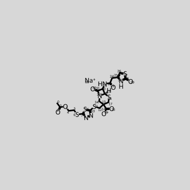 CC(=O)OCCSc1nnc(SCC2(C(=O)[O-])CS[C@@H]3C(NC(=O)Cc4csc(=O)[nH]4)C(=O)N3C2)s1.[Na+]